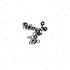 O=C(Nc1cccnc1)NC1CCN(c2nc(NCC(c3ccccc3)c3ccccc3)c3ncn([C@@H]4C[C@H](N5C(=O)CNC5=O)[C@@H](O)[C@H]4O)c3n2)C1